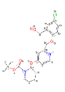 CC(C)(C)OC(=O)N1CCCCC1Oc1ccnc(COc2ccc(Cl)cc2CO)c1